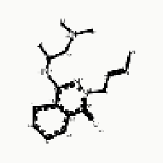 CC=CCn1nc(NC(C)CN(C)C)c2ccccc2c1=O